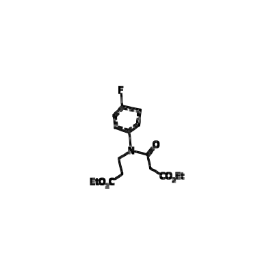 CCOC(=O)CCN(C(=O)CC(=O)OCC)c1ccc(F)cc1